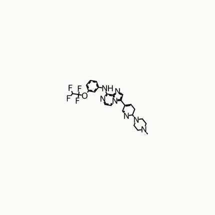 CN1CCN(C2CC=C(c3cnc4c(Nc5cccc(OC(F)(F)C(F)F)c5)nccn34)C=N2)CC1